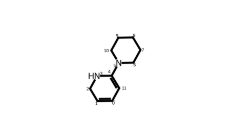 [C]1=CCNC(N2CCCCC2)=C1